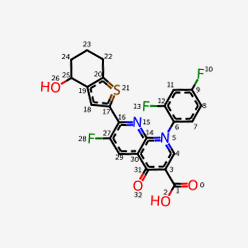 O=C(O)c1cn(-c2ccc(F)cc2F)c2nc(-c3cc4c(s3)CCCC4O)c(F)cc2c1=O